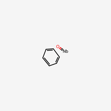 [O]=[Nb].c1ccccc1